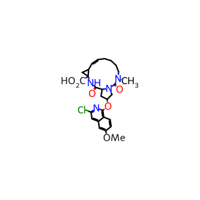 COc1ccc2c(OC3CC4C(=O)NC5(C(=O)O)CC5C=CCCCCN(C)C(=O)N4C3)nc(Cl)cc2c1